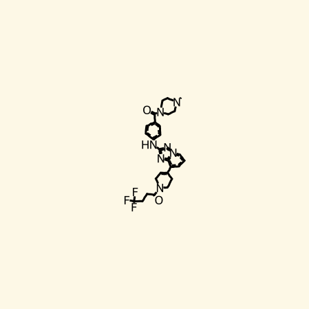 CN1CCN(C(=O)c2ccc(Nc3nc4c(C5=CCN(C(=O)CCC(F)(F)F)CC5)cccn4n3)cc2)CC1